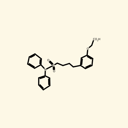 O=C(O)COc1cccc(CCCCS(=O)(=O)N(c2ccccc2)c2ccccc2)c1